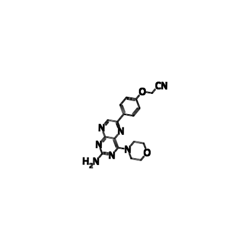 N#CCOc1ccc(-c2cnc3nc(N)nc(N4CCOCC4)c3n2)cc1